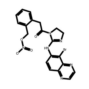 O=C(Cc1ccccc1CO[N+](=O)[O-])N1CCN=C1Nc1ccc2nccnc2c1Br